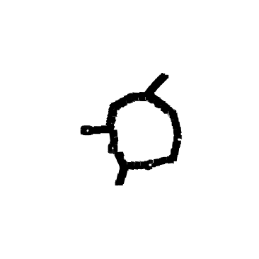 C=c1ccccc(=C)oc(=O)cc1